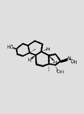 C[C@]12CC[C@H]3[C@@H](CCC4C[C@H](O)CC[C@@]43C)[C@@H]1CC(=NO)[C@@H]2O